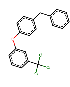 ClC(Cl)(Cl)c1cccc(Oc2ccc(Cc3ccccc3)cc2)c1